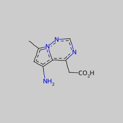 Cc1cc(N)c2c(CC(=O)O)ncnn12